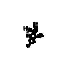 Nc1c(O)ccc(C(O)c2ccc(Cl)cc2)c1O